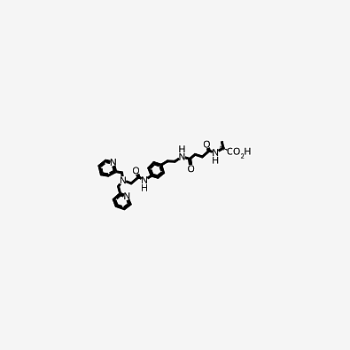 C[C@@H](NC(=O)CCC(=O)NCCc1ccc(NC(=O)CN(Cc2ccccn2)Cc2ccccn2)cc1)C(=O)O